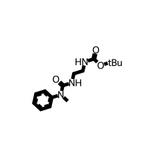 CN(C(=O)NCCNC(=O)OC(C)(C)C)c1ccccc1